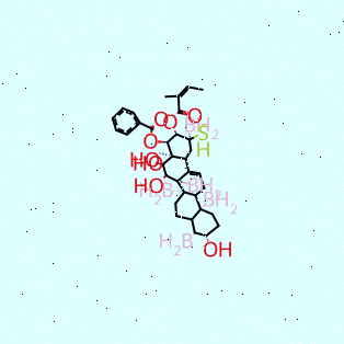 B[C@@H]1C2CC[C@]3(B)C(CC=C4C5C[C@@](B)(S)[C@@H](OC(=O)/C(C)=C\C)[C@H](OC(=O)c6ccccc6)[C@]5(CO)[C@H](O)[C@H](O)[C@]43B)[C@@]2(B)CC[C@@H]1O